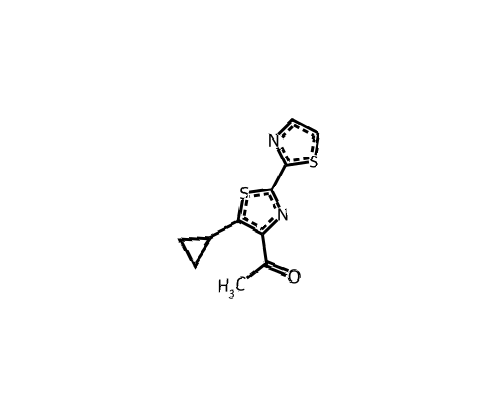 CC(=O)c1nc(-c2nccs2)sc1C1CC1